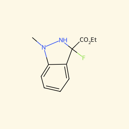 CCOC(=O)C1(F)NN(C)c2ccccc21